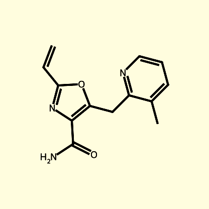 C=Cc1nc(C(N)=O)c(Cc2ncccc2C)o1